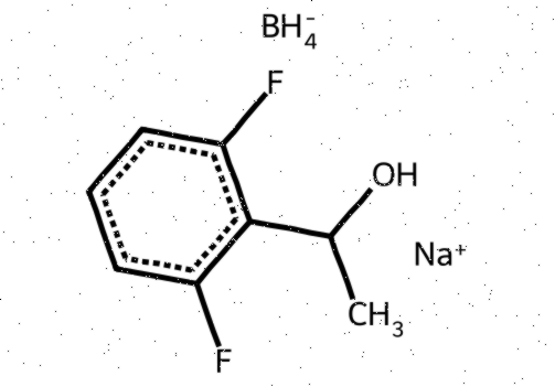 CC(O)c1c(F)cccc1F.[BH4-].[Na+]